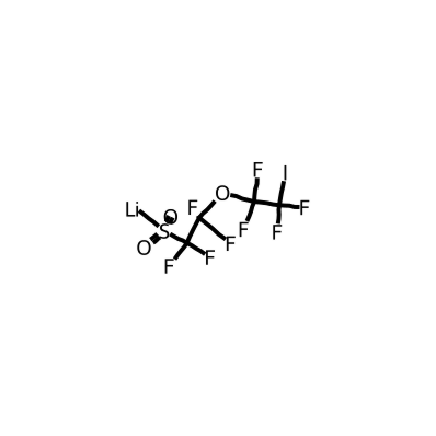 [Li][S](=O)(=O)C(F)(F)C(F)(F)OC(F)(F)C(F)(F)I